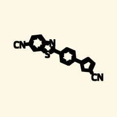 [C-]#[N+]c1ccc2nc(-c3ccc(C4=CC=C(C#N)C4)cc3)sc2c1